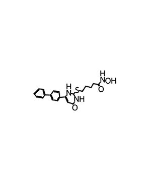 O=C1C=C(c2ccc(-c3ccccc3)cc2)NC(SCCCCC(=O)NO)N1